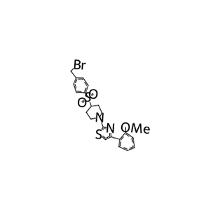 COc1ccccc1-c1csc(N2CCC(S(=O)(=O)c3ccc(CBr)cc3)CC2)n1